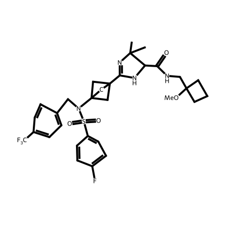 COC1(CNC(=O)C2NC(C34CC(N(Cc5ccc(C(F)(F)F)cc5)S(=O)(=O)c5ccc(F)cc5)(C3)C4)=NC2(C)C)CCC1